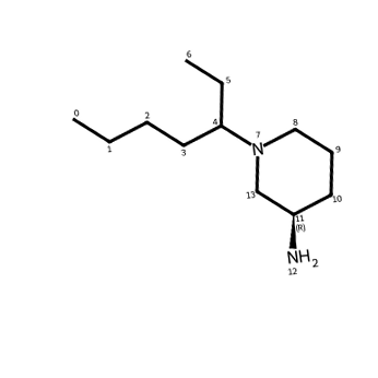 CCCCC(CC)N1CCC[C@@H](N)C1